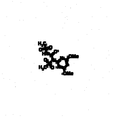 COc1cc(OC)nc(N(C(=O)NS(C)(=O)=O)S(C)(=O)=O)n1